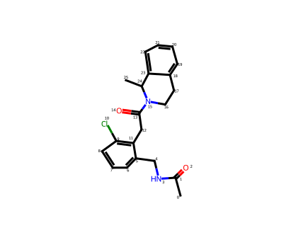 CC(=O)NCc1cccc(Cl)c1CC(=O)N1CCc2ccccc2C1C